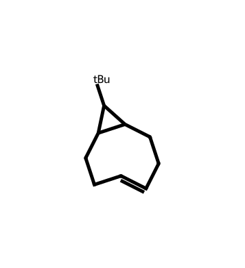 CC(C)(C)C1C2CC/C=C/CCC21